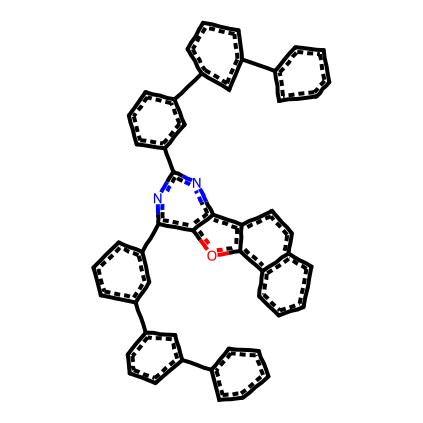 c1ccc(-c2cccc(-c3cccc(-c4nc(-c5cccc(-c6cccc(-c7ccccc7)c6)c5)c5oc6c7ccccc7ccc6c5n4)c3)c2)cc1